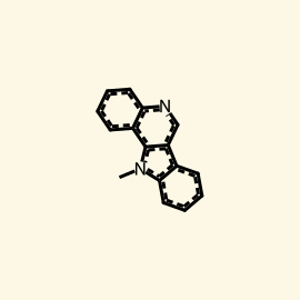 Cn1c2ccccc2c2cnc3ccccc3c21